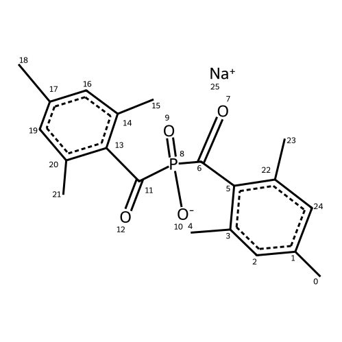 Cc1cc(C)c(C(=O)P(=O)([O-])C(=O)c2c(C)cc(C)cc2C)c(C)c1.[Na+]